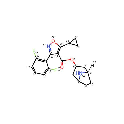 O=C(O[C@@H]1CC2CC[C@H](C1)N2)c1c(-c2c(F)cccc2F)noc1C1CC1